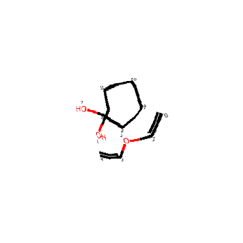 C=COC=C.OC1(O)CCCC1